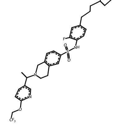 CC(c1ccc(OCC(F)(F)F)nc1)N1CCc2cc(S(=O)(=O)Nc3ccc(CCCC4CCCC4)cc3F)ccc2C1